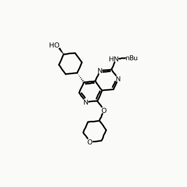 CCCCNc1ncc2c(OC3CCOCC3)ncc([C@H]3CC[C@H](O)CC3)c2n1